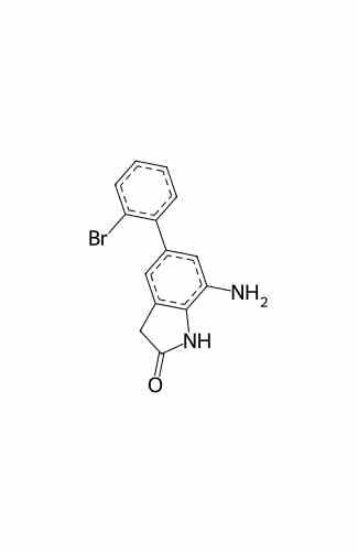 Nc1cc(-c2ccccc2Br)cc2c1NC(=O)C2